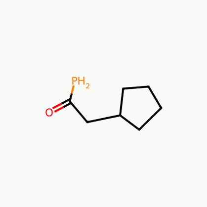 O=C(P)CC1CCCC1